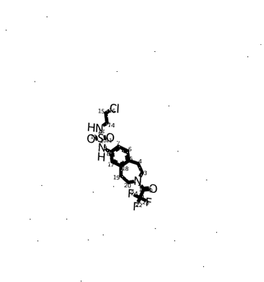 O=C(N1CCc2ccc(NS(=O)(=O)NCCCl)cc2CC1)C(F)(F)F